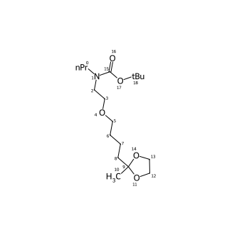 CCCN(CCOCCCCC1(C)OCCO1)C(=O)OC(C)(C)C